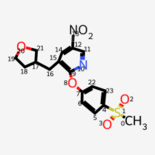 CS(=O)(=O)c1ccc(Oc2ncc([N+](=O)[O-])cc2CC2CCOC2)cc1